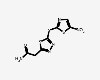 NC(=O)Cc1nnc(Sc2ncc([N+](=O)[O-])s2)s1